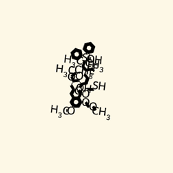 COCOc1cc(OC)cc(/C=C/C[C@@H]2OC(C)(C)O[C@@H]2C(O)/C=C\C[C@@H](CC(C)(C)[Si](O)(c2ccccc2)c2ccccc2)C(F)(F)F)c1C(=O)OCCS